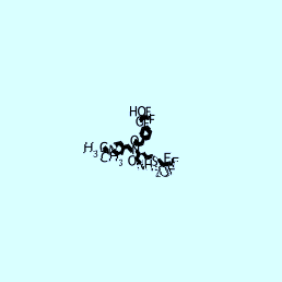 CC(C)N1CCC(CCN(C(=O)Cc2ccccc2)[C@@H](CCCSCC(=O)C(F)(F)F)C(N)=O)CC1.O=C(O)C(F)(F)F